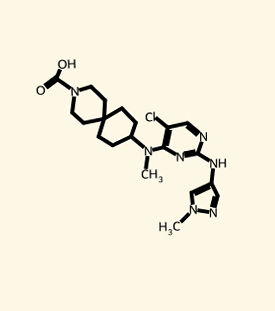 CN(c1nc(Nc2cnn(C)c2)ncc1Cl)C1CCC2(CC1)CCN(C(=O)O)CC2